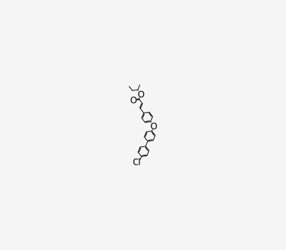 CCC(C)OC(=O)C=Cc1ccc(Oc2ccc(-c3ccc(Cl)cc3)cc2)cc1